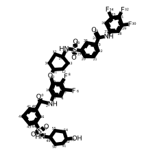 O=C(Nc1cc(F)c(F)c(OC2CCC(NS(=O)(=O)c3cccc(C(=O)Nc4cc(F)c(F)c(F)c4)c3)CC2)c1)c1cccc(S(=O)(=O)NC2CCC(O)CC2)c1